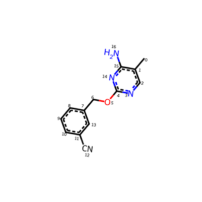 Cc1cnc(OCc2cccc(C#N)c2)nc1N